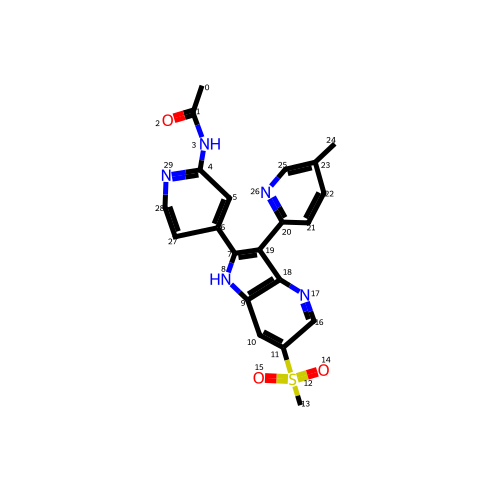 CC(=O)Nc1cc(-c2[nH]c3cc(S(C)(=O)=O)cnc3c2-c2ccc(C)cn2)ccn1